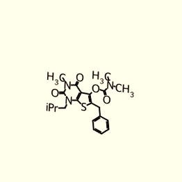 CC(C)Cn1c(=O)n(C)c(=O)c2c(OC(=O)N(C)C)c(Cc3ccccc3)sc21